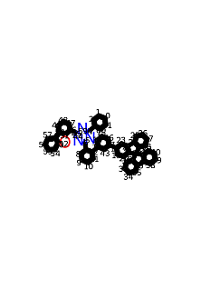 c1ccc(-c2nc(-c3ccccc3-c3cccc(-c4ccc5c(c4)-c4ccccc4C54c5ccccc5-c5ccccc54)c3)nc(-c3cccc4c3oc3ccccc34)n2)cc1